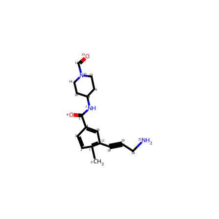 Cc1ccc(C(=O)NC2CCN(C=O)CC2)cc1C#CCN